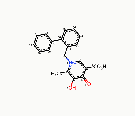 Cc1c(O)c(=O)c(C(=O)O)cn1Cc1ccccc1-c1ccccc1